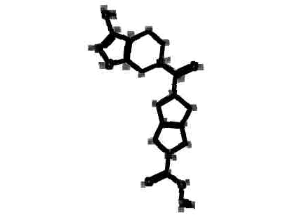 CC(C)(C)OC(=O)N1CC2=C(CC(C(=O)N3CCc4c(O)noc4C3)C2)C1